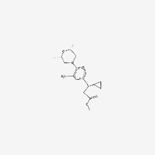 COC(=O)CC(c1ccc(N2C[C@@H](C)O[C@@H](C)C2)c(N)c1)C1CC1